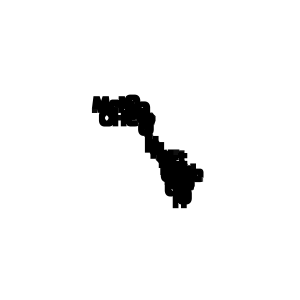 CCc1cc(Nc2ncc(Cl)c(Nc3ccccc3P(C)(C)=O)n2)c(OC)nc1N1CCC(N2CCN(CCCCOc3cccc4c3CN(C(C=O)CCC(=O)NC)C4=O)CC2)CC1